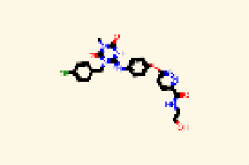 Cn1c(=O)[nH]/c(=N\c2ccc(Oc3ccc(C(=O)NCCO)nn3)cc2)n(CC2C=CC(Cl)=CC2)c1=O